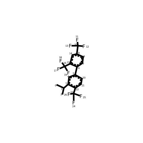 CC(C)c1cc(-c2ccc(C(F)(F)F)cc2C(F)(F)F)ccc1C(F)(F)F